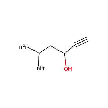 C#CC(O)CC(CCC)CCC